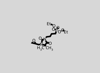 CCOOP(=O)(CCCCN1C(=O)N(CC2CO2)C(C)(C)C1=O)OOCC